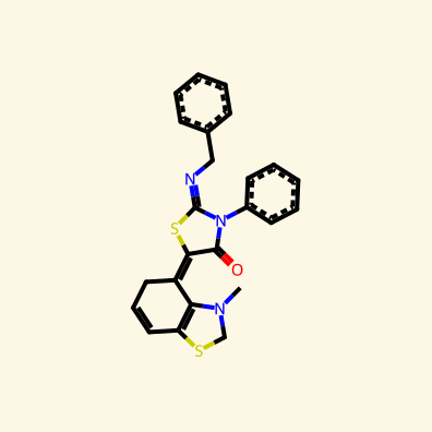 CN1CSC2=C1C(=C1SC(=NCc3ccccc3)N(c3ccccc3)C1=O)CC=C2